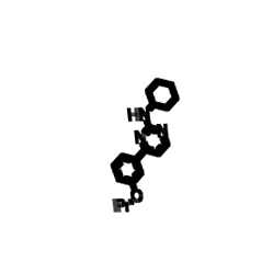 CC(C)Oc1cccc(-c2ccnc(NC3CCCCC3)n2)c1